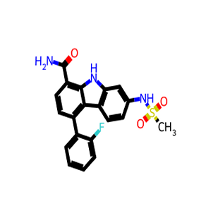 CS(=O)(=O)Nc1ccc2c(c1)[nH]c1c(C(N)=O)ccc(-c3ccccc3F)c12